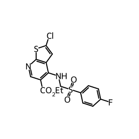 CCOC(=O)c1cnc2sc(Cl)cc2c1NCS(=O)(=O)c1ccc(F)cc1